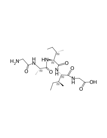 CC[C@H](C)[C@H](NC(=O)[C@H](C)NC(=O)CN)C(=O)N[C@H](C(=O)NCC(=O)O)[C@@H](C)CC